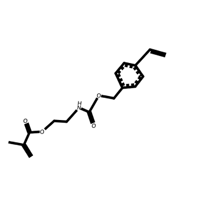 C=Cc1ccc(COC(=O)NCCOC(=O)C(=C)C)cc1